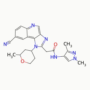 Cc1nn(C)cc1NC(=O)Cc1nc2cnc3ccc(C#N)cc3c2n1C1CCOC(C)C1